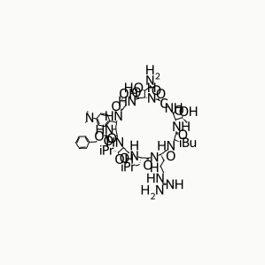 CC[C@H](C)[C@@H]1NC(=O)[C@@H](CCCNC(=N)N)NC(=O)[C@H](CC(C)C)NC(=O)[C@H]([C@H](O)C(C)C)NC(=O)[C@@H](NC(=O)OCc2ccccc2)C(c2ccc(N(C)C)cc2)NC(=O)[C@H](CO)NC(=O)[C@H]([C@H](O)C(N)=O)NC(=O)CNC(=O)[C@H]([C@H](C)O)NC1=O